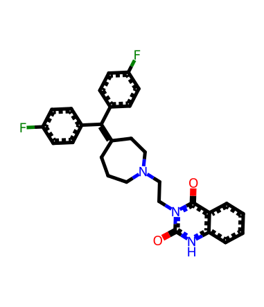 O=c1[nH]c2ccccc2c(=O)n1CCN1CCCC(=C(c2ccc(F)cc2)c2ccc(F)cc2)CC1